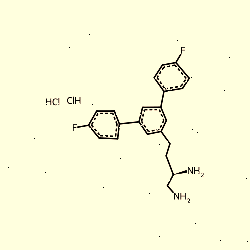 Cl.Cl.NC[C@H](N)CCc1cc(-c2ccc(F)cc2)cc(-c2ccc(F)cc2)c1